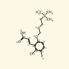 C[Si](C)(C)CCOCOc1ccc(F)c(Cl)c1/C=C/C(=O)O